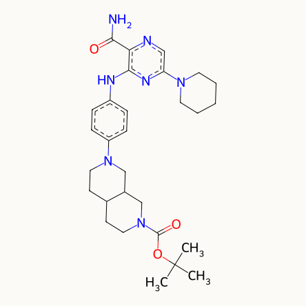 CC(C)(C)OC(=O)N1CCC2CCN(c3ccc(Nc4nc(N5CCCCC5)cnc4C(N)=O)cc3)CC2C1